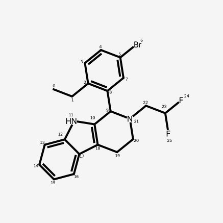 CCc1ccc(Br)cc1C1c2[nH]c3ccccc3c2CCN1CC(F)F